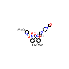 CCOc1ccc(OC)cc1C1(N2CC3(CN(C4CCN(C5COC5)CC4)C3)C2)C(=O)N(S(=O)(=O)c2ccc(OC)cn2)c2ccc(C#N)cc21